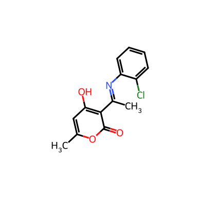 CC(=Nc1ccccc1Cl)c1c(O)cc(C)oc1=O